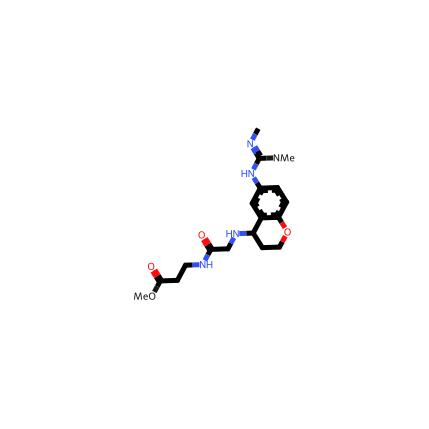 C/N=C(\NC)Nc1ccc2c(c1)C(NCC(=O)NCCC(=O)OC)CCO2